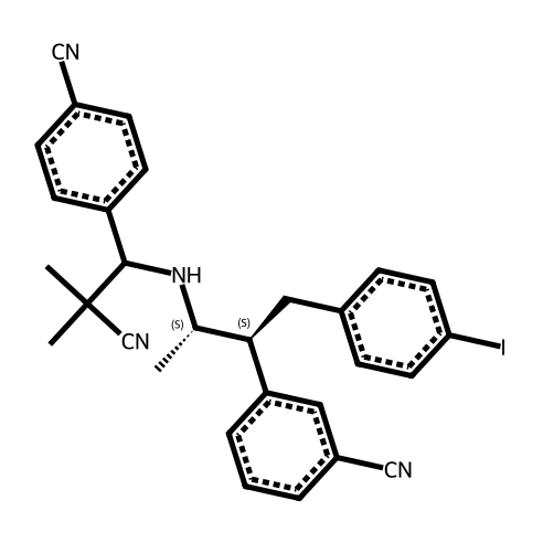 C[C@H](NC(c1ccc(C#N)cc1)C(C)(C)C#N)[C@@H](Cc1ccc(I)cc1)c1cccc(C#N)c1